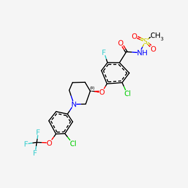 CS(=O)(=O)NC(=O)c1cc(Cl)c(O[C@@H]2CCCN(c3ccc(OC(F)(F)F)c(Cl)c3)C2)cc1F